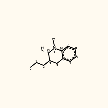 CCCC1Cc2ccccc2N(C)[C@H]1C